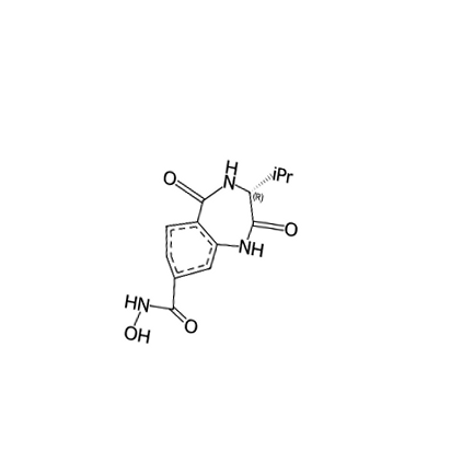 CC(C)[C@H]1NC(=O)c2ccc(C(=O)NO)cc2NC1=O